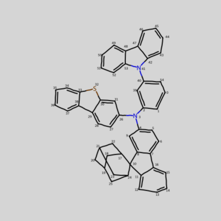 c1cc(N(c2ccc3c(c2)C2(c4ccccc4-3)C3CC4CC(C3)CC2C4)c2ccc3c(c2)sc2ccccc23)cc(-n2c3ccccc3c3ccccc32)c1